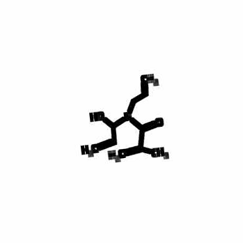 C=CCN(C(=O)C(=C)C)C(O)C=C